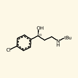 CC(C)(C)NCC[C@H](O)c1ccc(Cl)cc1